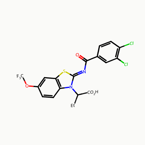 CCC(C(=O)O)n1c(=NC(=O)c2ccc(Cl)c(Cl)c2)sc2cc(OC(F)(F)F)ccc21